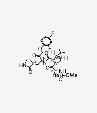 COC(=O)N[C@H](C(=O)N1C[C@H]2[C@@H]([C@H]1C(=O)N[C@@H](C[C@@H]1CCNC1=O)C(=O)COc1ccc(F)cc1F)C2(C)C)C(C)(C)C